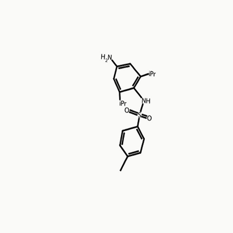 Cc1ccc(S(=O)(=O)Nc2c(C(C)C)cc(N)cc2C(C)C)cc1